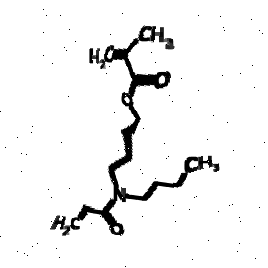 C=CC(=O)N(CCCC)CCCCOC(=O)C(=C)C